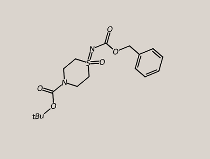 CC(C)(C)OC(=O)N1CCS(=O)(=NC(=O)OCc2ccccc2)CC1